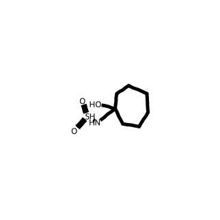 O=[SH](=O)NC1(O)CCCCCC1